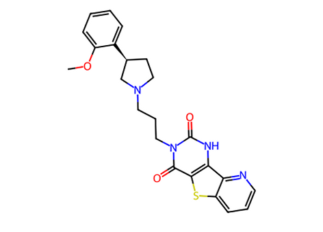 COc1ccccc1[C@H]1CCN(CCCn2c(=O)[nH]c3c(sc4cccnc43)c2=O)C1